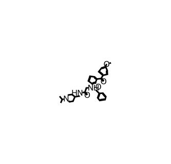 COc1ccc(C(=O)c2cccc(NCC(=O)NCC3CCN(C(C)C)CC3)c2OCc2ccccc2)cc1